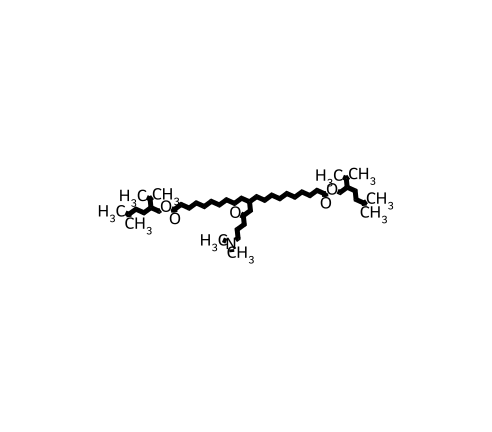 CC(C)CCC(COC(=O)CCCCCCCCCC(CCCCCCCCCC(=O)OCC(CCC(C)C)C(C)C)CC(=O)CCCN(C)C)C(C)C